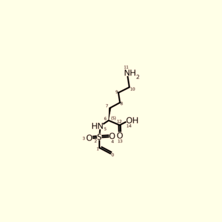 C=CS(=O)(=O)N[C@@H](CCCCN)C(=O)O